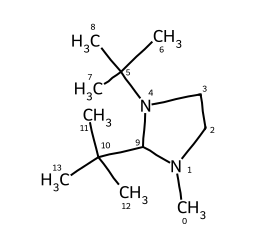 CN1CCN(C(C)(C)C)C1C(C)(C)C